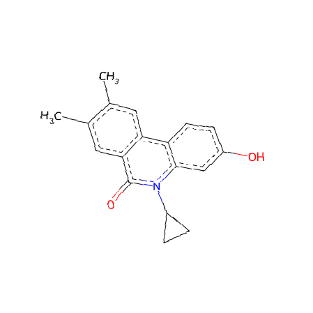 Cc1cc2c(=O)n(C3CC3)c3cc(O)ccc3c2cc1C